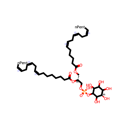 CCCCC/C=C\C/C=C\C/C=C\CCCCCCC(=O)O[C@H](COC(=O)CCCC/C=C\C/C=C\C/C=C\CCCCC)COP(=O)(O)OC1C(O)C(O)C(O)[C@@H](O)C1O